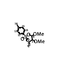 COC(CF)C(OC)OS(=O)(=O)c1ccc(C)cc1